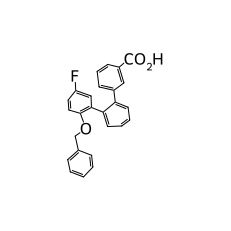 O=C(O)c1cccc(-c2ccccc2-c2cc(F)ccc2OCc2ccccc2)c1